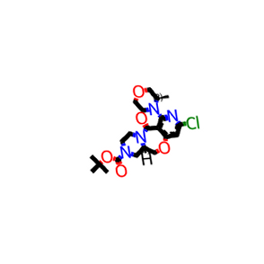 C[C@@H]1COCCN1c1nc(Cl)cc2c1C(=O)N1CCN(C(=O)OC(C)(C)C)C[C@@H]1CO2